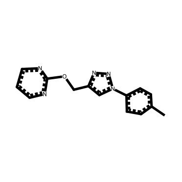 Cc1ccc(-n2cc(COc3ncccn3)nn2)cc1